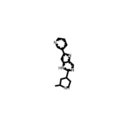 CC1CC(c2ncc3nc(-c4cccnc4)cc-3[nH]2)CCN1